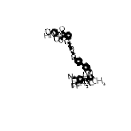 CC1(C)CN(Cc2ccc(-c3ccc(OCCOCCOc4cccc5c4C(=O)N(C4CCC(=O)NC4=O)C5=O)cc3)cc2)C(=O)C1Oc1ccc(C#N)c(C(F)(F)F)c1